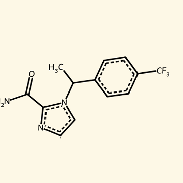 CC(c1ccc(C(F)(F)F)cc1)n1c[c]nc1C(N)=O